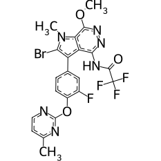 COc1nnc(NC(=O)C(F)(F)F)c2c(-c3ccc(Oc4nccc(C)n4)c(F)c3)c(Br)n(C)c12